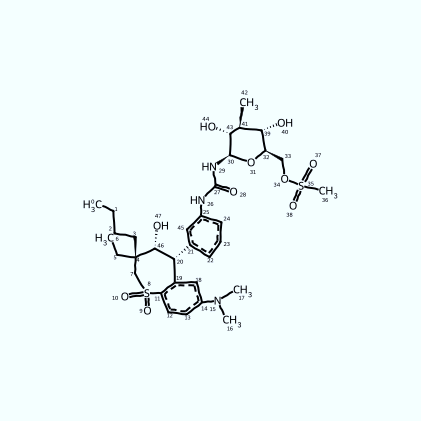 CCCC[C@]1(CC)CS(=O)(=O)c2ccc(N(C)C)cc2[C@@H](c2cccc(NC(=O)N[C@@H]3O[C@H](COS(C)(=O)=O)[C@@H](O)[C@H](C)[C@H]3O)c2)[C@H]1O